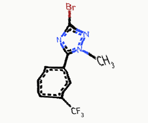 Cn1nc(Br)nc1-c1cccc(C(F)(F)F)c1